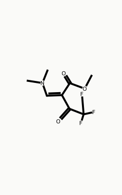 COC(=O)/C(=C\N(C)C)C(=O)C(F)(F)F